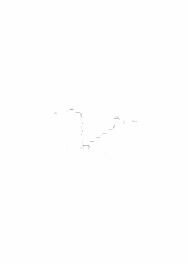 CCCCC/C=C\C/C=C\CCCCCCCC(C)C(C)CCCCCCC/C=C\C/C=C\CCCCC